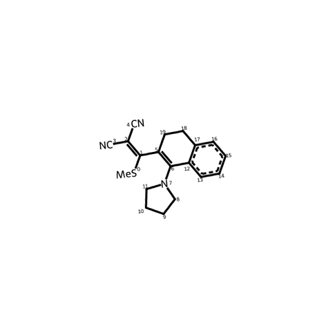 CSC(=C(C#N)C#N)C1=C(N2CCCC2)c2ccccc2CC1